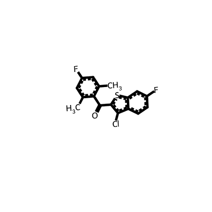 Cc1cc(F)cc(C)c1C(=O)c1sc2cc(F)ccc2c1Cl